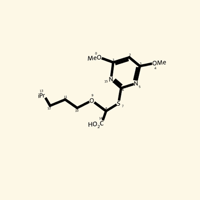 COc1cc(OC)nc(SC(OCCCC(C)C)C(=O)O)n1